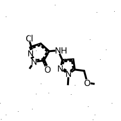 COCc1cc(Nc2cc(Cl)nn(C)c2=O)nn1C